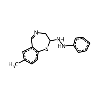 Cc1ccc2c(c1)C=NCC(NNc1ccccc1)S2